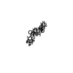 O=C(Cc1cccc(C(F)(F)F)c1F)Nc1c(Cl)ccc2c1CCN(S(=O)(=O)Cc1ccccc1)C2